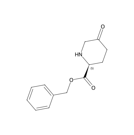 O=C1CC[C@@H](C(=O)OCc2ccccc2)NC1